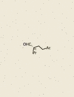 CC(=O)CC[C@@H](C=O)C(C)C